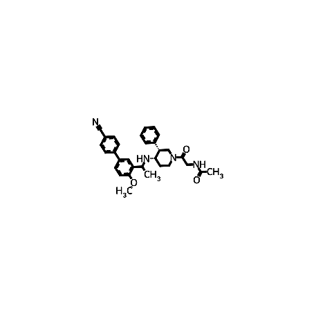 COc1ccc(-c2ccc(C#N)cc2)cc1C(C)N[C@H]1CCN(C(=O)CNC(C)=O)C[C@H]1c1ccccc1